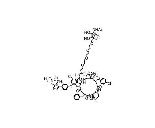 COC[C@@H]1NC(=O)[C@H](CCCNC(=O)CCOCCOCCOCCOC[C@@]23COC(O2)[C@H](NC(C)=O)[C@@H](O)[C@H]3O)N(Cc2ccc(Cl)cc2Oc2ccc(-c3cnc(CN(C)C)n3C)cc2)C(=O)C[C@@H](Cc2ccccc2)C(=O)N(C)[C@H]2CCCC[C@@H]2NC(=O)C[C@H](Cc2ccc(Cl)cc2)N(C)C1=O